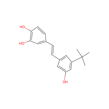 CC(C)(C)c1cc(O)cc(/C=C/c2ccc(O)c(O)c2)c1